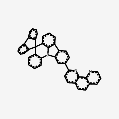 c1ccc2c(c1)B1c3cc(-c4ccc5ccc6cccnc6c5n4)ccc3-c3cccc(c31)C21c2ccccc2-c2ccccc21